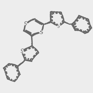 C1=C(c2ccc(-c3ccccc3)s2)SC(c2ccc(-c3ccccc3)s2)=CS1